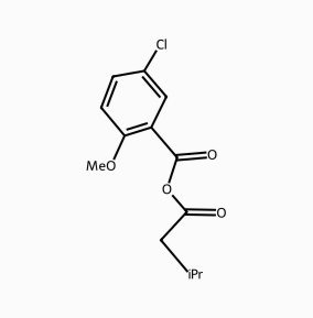 COc1ccc(Cl)cc1C(=O)OC(=O)CC(C)C